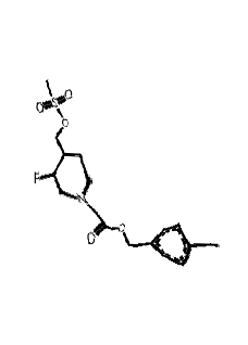 Cc1ccc(COC(=O)N2CCC(COS(C)(=O)=O)C(F)C2)cc1